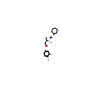 COc1ccc(NC(=O)CC2CS/C(=N\C3CCCCC3)N2C)cc1Cl.Cl